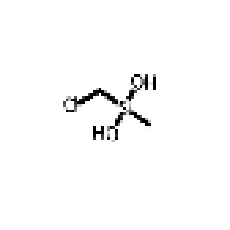 C[Si](O)(O)CCl